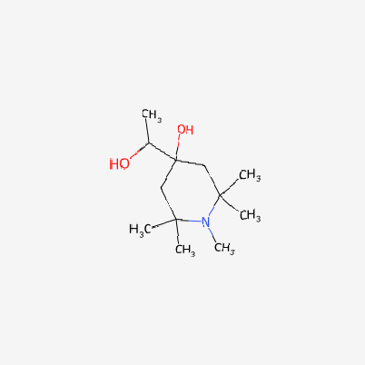 CC(O)C1(O)CC(C)(C)N(C)C(C)(C)C1